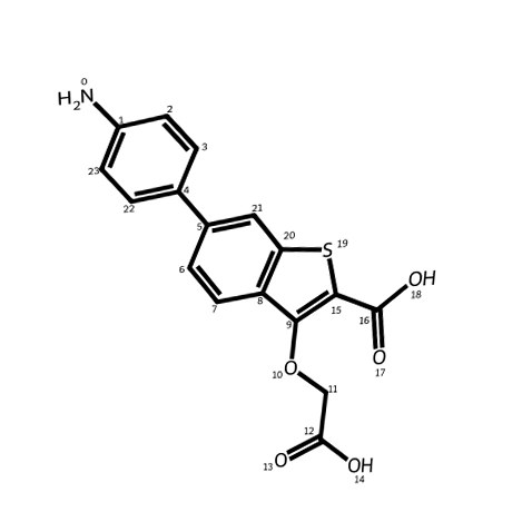 Nc1ccc(-c2ccc3c(OCC(=O)O)c(C(=O)O)sc3c2)cc1